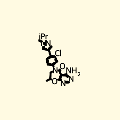 CC(C)Cn1cc(-c2ccc(N3CC(C)Oc4ncnc(N)c4C3=O)cc2Cl)cn1